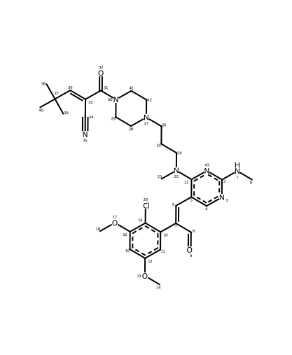 CNc1ncc(/C=C(\C=O)c2cc(OC)cc(OC)c2Cl)c(N(C)CCCN2CCN(C(=O)/C(C#N)=C/C(C)(C)C)CC2)n1